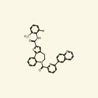 Cc1cccc(F)c1NC(=O)c1cc2c(s1)-c1ccccc1N(C(=O)c1cccc(-c3ccc4ncccc4c3)n1)CC2